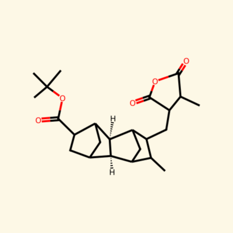 CC1C(=O)OC(=O)C1CC1C(C)C2CC1[C@@H]1C3CC(CC3C(=O)OC(C)(C)C)[C@H]21